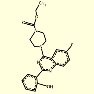 CCOC(=O)N1CCN(c2nc(-c3ccccc3O)nc3ccc(F)cc23)CC1